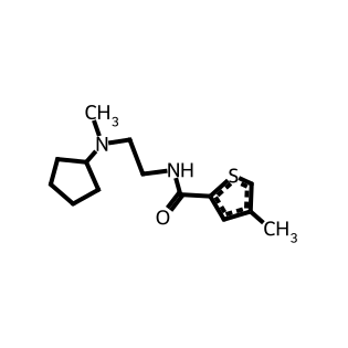 Cc1csc(C(=O)NCCN(C)C2CCCC2)c1